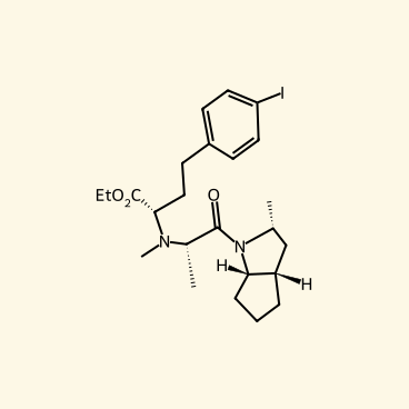 CCOC(=O)[C@H](CCc1ccc(I)cc1)N(C)[C@@H](C)C(=O)N1[C@H](C)C[C@@H]2CCC[C@@H]21